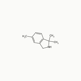 Cc1ccc2c(c1)CNC2(C)C